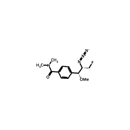 CO[C@H](c1ccc(C(=O)N(C)C)cc1)[C@@H](CF)N=[N+]=[N-]